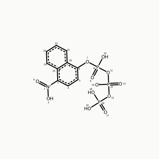 O=[N+](O)c1ccc(OP(=O)(O)OP(=O)([O-])OP(=O)(O)O)c2ccccc12